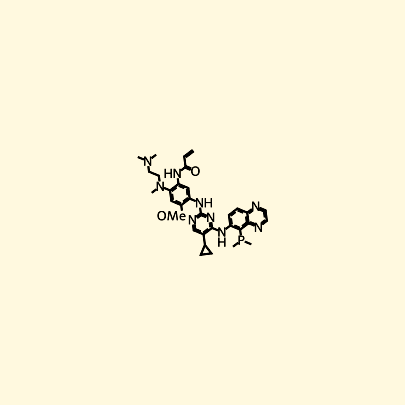 C=CC(=O)Nc1cc(Nc2ncc(C3CC3)c(Nc3ccc4nccnc4c3P(C)C)n2)c(OC)cc1N(C)CCN(C)C